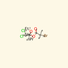 CCCC(OCC)(OC(=O)C(C)(C)Br)[SiH](Cl)Cl